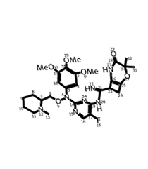 COc1cc(N(OCC2CCCCN2C)c2ncc(F)c(NC(=N)C3CC4=C3NC(=O)C(C)(C)O4)n2)cc(OC)c1OC